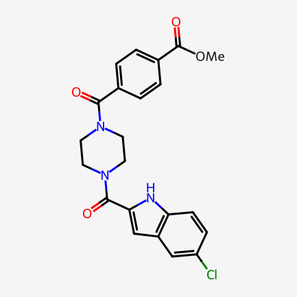 COC(=O)c1ccc(C(=O)N2CCN(C(=O)c3cc4cc(Cl)ccc4[nH]3)CC2)cc1